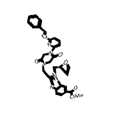 COC(=O)c1ccc2nc(CN3CC(=O)N(c4cccc(OCc5ccccc5)n4)CC3=O)n(C[C@@H]3CCO3)c2c1